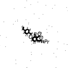 C=CC1CCC(COc2ccc3cc(CCC)oc(=O)c3c2F)CC1